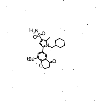 Cc1c(S(N)(=O)=O)cc(-c2cc3c(c(C(C)(C)C)c2)OCCC3=O)n1CC1CCCCC1